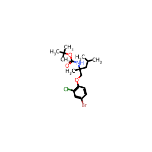 CC(C)CC(C)(COc1ccc(Br)cc1Cl)NC(=O)OC(C)(C)C